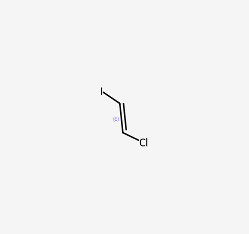 Cl/C=C/I